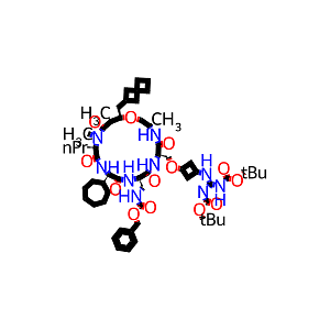 CCC[C@H]1C(=O)N[C@@H](C2CCCCCC2)C(=O)N[C@@H](CNC(=O)OCc2ccccc2)C(=O)N[C@@H](COC2CC(N/C(=N/C(=O)OC(C)(C)C)NC(=O)OC(C)(C)C)C2)C(=O)N[C@H](C)CO[C@H](CC2CC3(CCC3)C2)[C@@H](C)C(=O)N1C